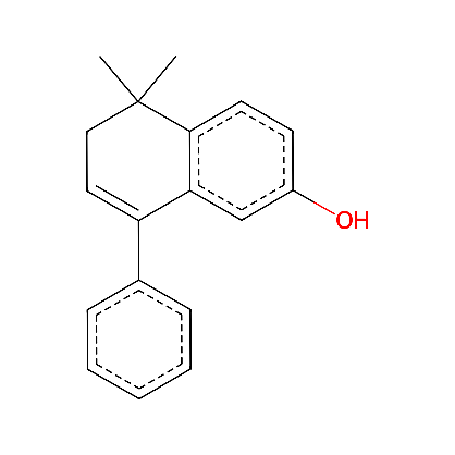 CC1(C)CC=C(c2ccccc2)c2cc(O)ccc21